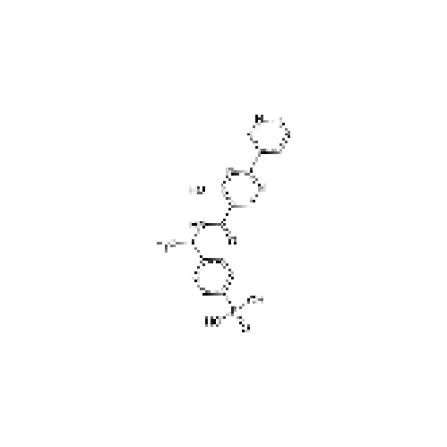 C[C@H](NC(=O)c1cnc(-c2cccnn2)nc1O)c1ccc(P(=O)(O)O)cc1